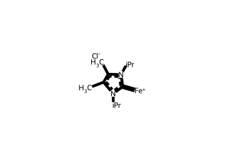 Cc1c(C)n(C(C)C)[c](=[Fe+])n1C(C)C.[Cl-]